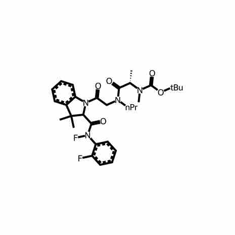 CCCN(CC(=O)N1c2ccccc2C(C)(C)C1C(=O)N(F)c1ccccc1F)C(=O)[C@H](C)N(C)C(=O)OC(C)(C)C